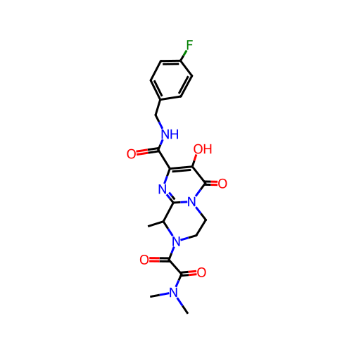 CC1c2nc(C(=O)NCc3ccc(F)cc3)c(O)c(=O)n2CCN1C(=O)C(=O)N(C)C